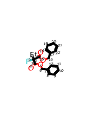 CCC(F)(C(=O)OCc1ccccc1)C(=O)OCc1ccccc1